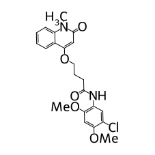 COc1cc(OC)c(NC(=O)CCCOc2cc(=O)n(C)c3ccccc23)cc1Cl